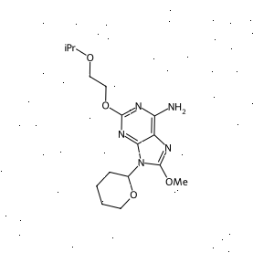 COc1nc2c(N)nc(OCCOC(C)C)nc2n1C1CCCCO1